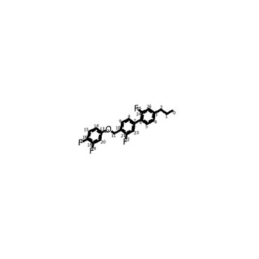 CCCc1ccc(-c2ccc(COc3ccc(F)c(F)c3)c(F)c2)c(F)c1